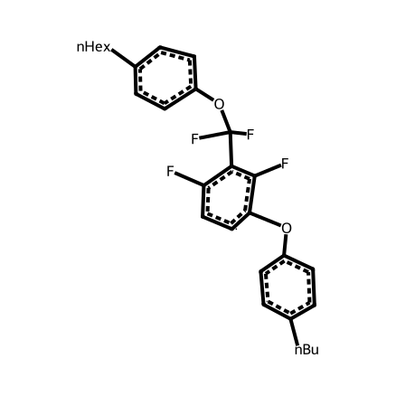 CCCCCCc1ccc(OC(F)(F)c2c(F)c[c]c(Oc3ccc(CCCC)cc3)c2F)cc1